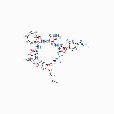 CCCCCC[C@H]1OC[C@@H](C)NC(=O)[C@H](COc2ccc(CN)cc2C)NC(=O)[C@H](CN)NC(=O)[C@H](C2CCCCCC2)NC(=O)[C@H](CC(C)C)N(C)C(=O)[C@@H]1C